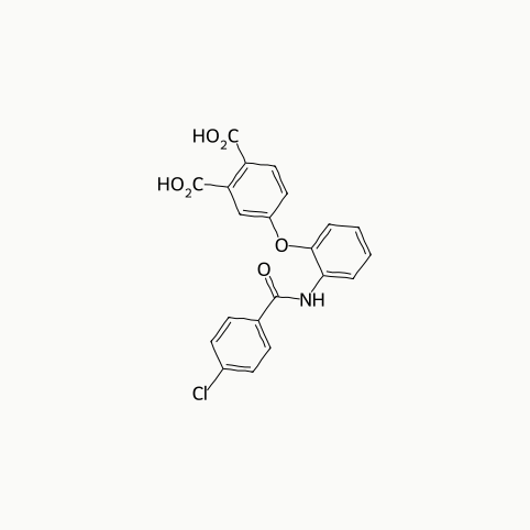 O=C(Nc1ccccc1Oc1ccc(C(=O)O)c(C(=O)O)c1)c1ccc(Cl)cc1